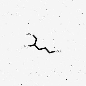 [CH2]CCCCCCCCCCC(C)CCCCCCCC[CH2]